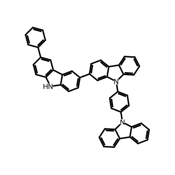 c1ccc(-c2ccc3[nH]c4ccc(-c5ccc6c7ccccc7n(-c7ccc(-n8c9ccccc9c9ccccc98)cc7)c6c5)cc4c3c2)cc1